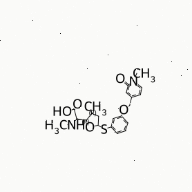 CNC(C(=O)O)[C@@H]1OC(Sc2cccc(OCc3ccn(C)c(=O)c3)c2)C[C@H]1C